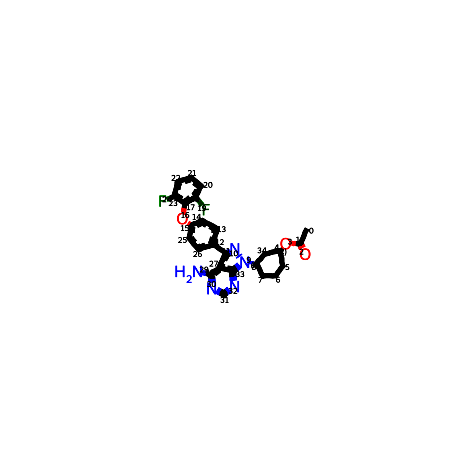 CC(=O)O[C@@H]1CCC[C@@H](n2nc(-c3ccc(Oc4c(F)cccc4F)cc3)c3c(N)ncnc32)C1